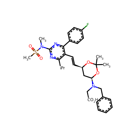 CC(C)c1nc(N(C)S(C)(=O)=O)nc(-c2ccc(F)cc2)c1C=C[C@@H]1C[C@H](N(CC(=O)O)Cc2ccccc2)OC(C)(C)O1